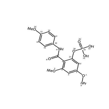 CCCOc1cc(OC)c(C(=O)Nc2ccc(OC)cc2)c(OP(=O)(O)O)c1